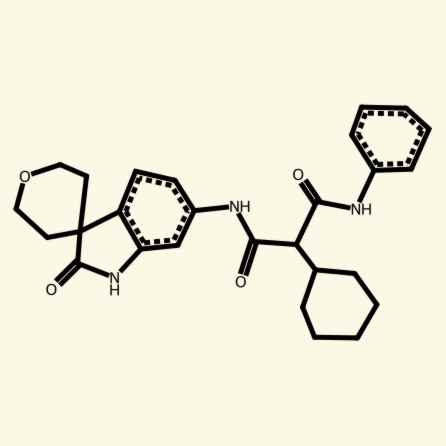 O=C(Nc1ccccc1)C(C(=O)Nc1ccc2c(c1)NC(=O)C21CCOCC1)C1CCCCC1